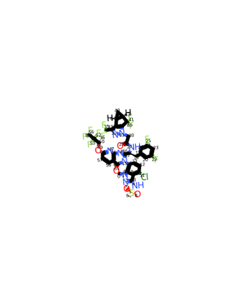 Cn1nc(NS(C)(=O)=O)c2c(Cl)ccc(-n3c([C@H](Cc4cc(F)cc(F)c4)NC(=O)Cn4nc(C(F)F)c5c4C(F)(F)[C@@H]4C[C@H]54)nc4nc(OCC(F)(F)C(F)F)ccc4c3=O)c21